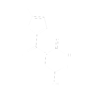 C=C(c1ccc(C)s1)N(CC(C)C)C(C)=O